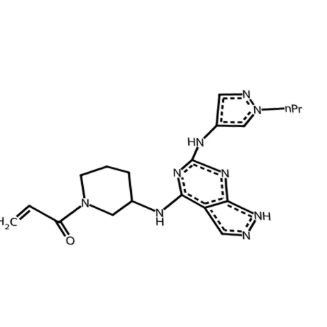 C=CC(=O)N1CCCC(Nc2nc(Nc3cnn(CCC)c3)nc3[nH]ncc23)C1